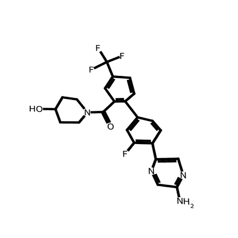 Nc1cnc(-c2ccc(-c3ccc(C(F)(F)F)cc3C(=O)N3CCC(O)CC3)cc2F)cn1